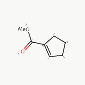 COC(=O)C1=CCCC1